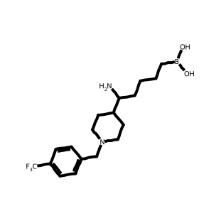 NC(CCCCB(O)O)C1CCN(Cc2ccc(C(F)(F)F)cc2)CC1